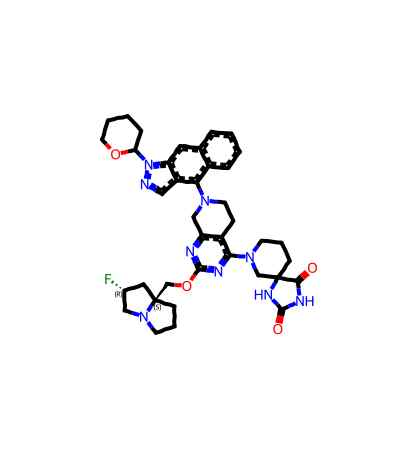 O=C1NC(=O)C2(CCCN(c3nc(OC[C@@]45CCCN4C[C@H](F)C5)nc4c3CCN(c3c5ccccc5cc5c3cnn5C3CCCCO3)C4)C2)N1